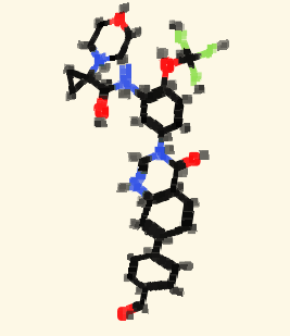 O=Cc1ccc(-c2ccc3c(=O)n(-c4ccc(OC(F)(F)F)c(NC(=O)C5(N6CCOCC6)CC5)c4)cnc3c2)cc1